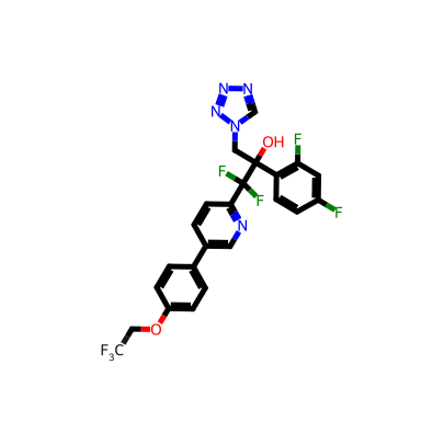 OC(Cn1cnnn1)(c1ccc(F)cc1F)C(F)(F)c1ccc(-c2ccc(OCC(F)(F)F)cc2)cn1